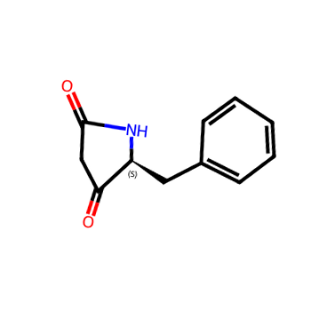 O=C1CC(=O)[C@H](Cc2ccccc2)N1